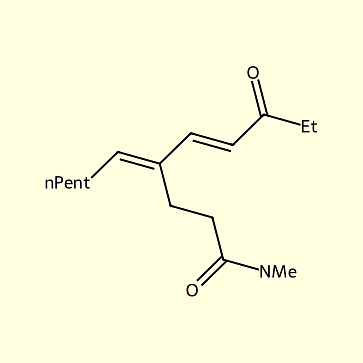 CCCCC/C=C(/C=C/C(=O)CC)CCC(=O)NC